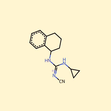 N#C/N=C(\NC1CC1)NC1CCCc2ccccc21